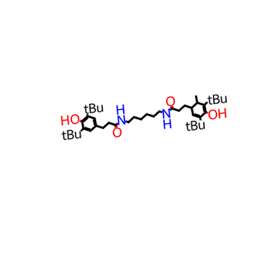 CC1C(C(C)(C)C)=C(O)C(C(C)(C)C)=CC1CCC(=O)NCCCCCCNC(=O)CCc1cc(C(C)(C)C)c(O)c(C(C)(C)C)c1